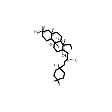 C[C@H](CCC1(O)CCC(F)(F)CC1)[C@H]1CC[C@H]2[C@@H]3CC[C@H]4C[C@@](C)(O)CC[C@]4(C)[C@H]3CC[C@]12C